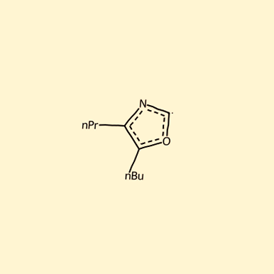 CCCCc1o[c]nc1CCC